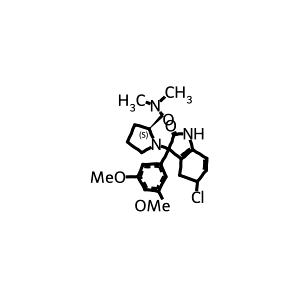 COc1cc(OC)cc(C2(N3CCC[C@H]3C(=O)N(C)C)C(=O)NC3=C2CC(Cl)C=C3)c1